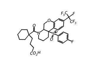 O=C(O)CCCC1(C(=O)N2CCCC3(S(=O)(=O)c4ccc(F)cc4)c4ccc(C(F)(C(F)(F)F)C(F)(F)F)cc4OCC23)CCCCC1